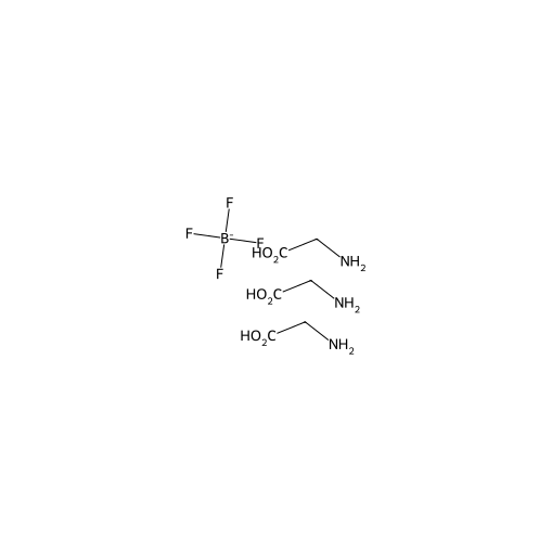 F[B-](F)(F)F.NCC(=O)O.NCC(=O)O.NCC(=O)O